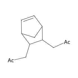 CC(=O)CC1C2C=CC(C2)C1CC(C)=O